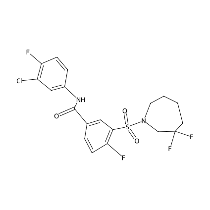 O=C(Nc1ccc(F)c(Cl)c1)c1ccc(F)c(S(=O)(=O)N2CCCCC(F)(F)C2)c1